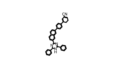 N#CC1=CCCC(c2ccc(-c3ccc4ccc(C5=NC(c6ccccc6)NC(c6ccccc6)=N5)cc4c3)cc2)=C1